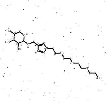 OCCOCCOCCOCCn1cc(COC2OCC(O)C(O)C2O)nn1